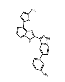 Cc1ccc(-c2ccnc3[nH]c(-c4n[nH]c5ccc(-c6cncc(N)c6)cc45)nc23)s1